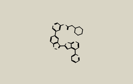 O=C(CC1CCCCC1)Nc1cncc(-c2ccc3[nH]nc(-c4cc5c(-c6ccccn6)ccnc5[nH]4)c3c2)c1